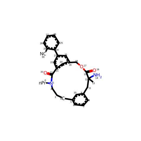 CCCN1CCCc2cccc(c2)CC(C)(N)C(=O)OCc2cc(cc(-c3ccccc3C#N)c2)C1=O